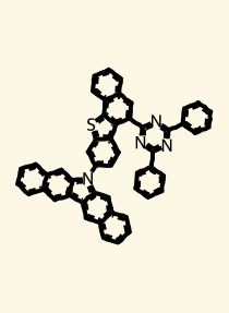 c1ccc(-c2nc(-c3ccccc3)nc(-c3cc4ccccc4c4sc5cc(-n6c7cc8ccccc8cc7c7cc8ccccc8cc76)ccc5c34)n2)cc1